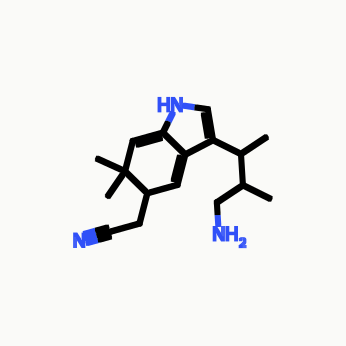 CC(CN)C(C)c1c[nH]c2c1=CC(CC#N)C(C)(C)C=2